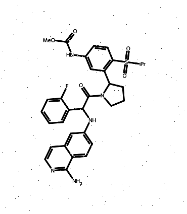 COC(=O)Nc1ccc(S(=O)(=O)C(C)C)c(C2CCCN2C(=O)C(Nc2ccc3c(N)nccc3c2)c2ccccc2F)c1